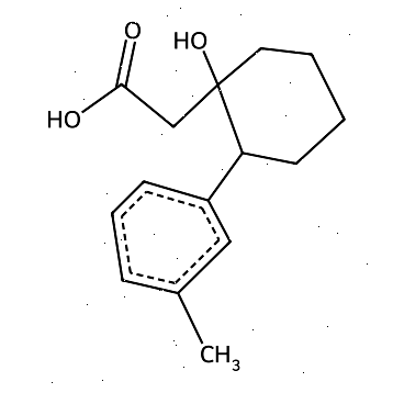 Cc1cccc(C2CCCCC2(O)CC(=O)O)c1